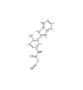 N#CCC(=O)Nc1ccc(Cl)c(-c2nc3cccnc3o2)c1